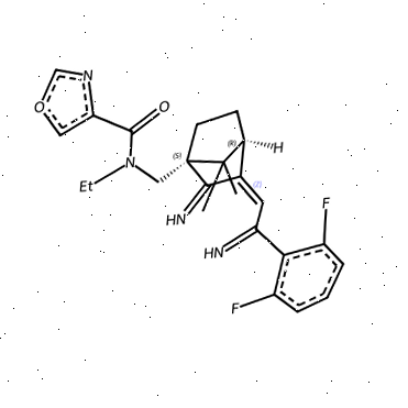 CCN(C[C@@]12CC[C@@H](/C(=C/C(=N)c3c(F)cccc3F)C1=N)C2(C)C)C(=O)c1cocn1